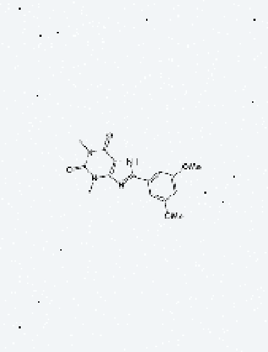 COc1cc(OC)cc(-c2nc3c([nH]2)c(=O)n(C)c(=O)n3C)c1